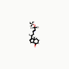 CCC(/C=C/C[C@H](C)C1=CCC2C(=O)CCCC12C)(CC)O[Si](C)(C)C